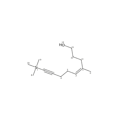 CC(=CCCC#C[Si](C)(C)C)CCCO